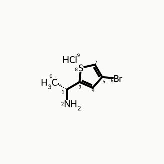 C[C@@H](N)c1cc(Br)cs1.Cl